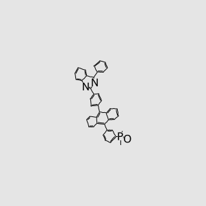 CP(C)(=O)c1cccc(-c2c3ccccc3c(-c3ccc(-c4nc(-c5ccccc5)c5ccccc5n4)cc3)c3ccccc23)c1